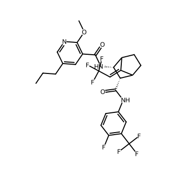 CCCc1cnc(OC)c(C(=O)N[C@@H]2C3CCC(/C3=C/C(F)(F)F)[C@@H]2C(=O)Nc2ccc(F)c(C(F)(F)F)c2)c1